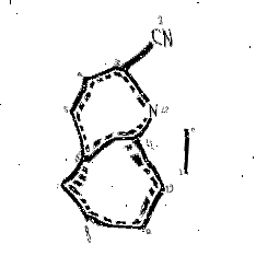 CC.N#Cc1ccc2ccccc2n1